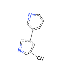 N#Cc1cncc(-c2cccnc2)c1